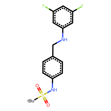 CC(C)(C)S(=O)(=O)Nc1ccc(CNc2cc(F)cc(F)c2)cc1